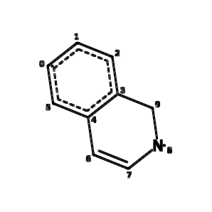 [c]1ccc2c(c1)C=C[N]C2